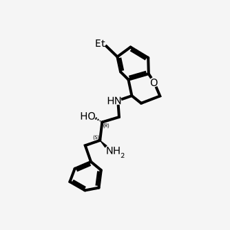 CCc1ccc2c(c1)C(NC[C@@H](O)[C@@H](N)Cc1ccccc1)CCO2